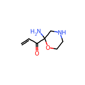 C=CC(=O)C1(N)CNCCO1